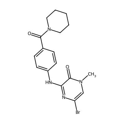 Cn1cc(Br)nc(Nc2ccc(C(=O)N3CCCCC3)cc2)c1=O